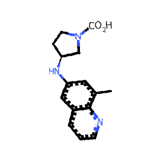 Cc1cc(N[C@H]2CCN(C(=O)O)C2)cc2cccnc12